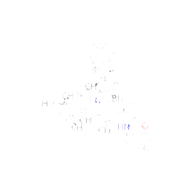 Cc1cc(-c2cccc3c2Nc2ccccc2O3)c2c(c1)N(c1cc3c(cc1C)C(C)(C)CCC3(C)C)c1cc3c(cc1B2)Sc1ccccc1S3